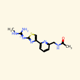 CN/C(N)=N/c1nc(-c2cccc(CNC(C)=O)n2)cs1